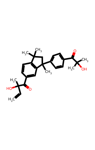 C=CC(C)(O)C(=O)c1ccc2c(c1)C(C)(c1ccc(C(=O)C(C)(C)O)cc1)CC2(C)C